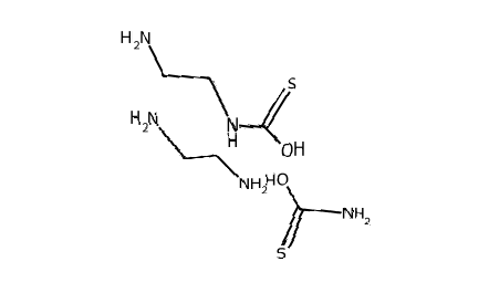 NC(O)=S.NCCN.NCCNC(O)=S